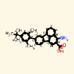 Cc1cc(C(C)(C)C)cc(C)c1-c1ccc2c(c1)-c1cccc3c(N)c(C(=O)O)cc-2c13